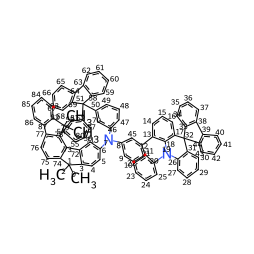 CC1(C)c2ccc(N(c3cccc(-c4cccc5c4N(c4ccccc4)c4ccccc4C54c5ccccc5-c5ccccc54)c3)c3cccc(C4(c5ccccc5)c5ccccc5-c5ccccc54)c3)cc2-c2c1ccc1c2C(C)(C)c2ccccc2-1